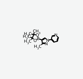 Cc1nn(-c2cccnc2)cc1B1OC(C)(C)C(C)(C)O1